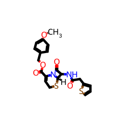 COc1ccc(COC(=O)C2=CCS[C@H]3C(NC(=O)Cc4cccs4)C(=O)N23)cc1